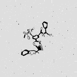 CCN(c1cc(C(=O)NC(c2ccccc2)C(F)(F)F)cc(-c2nnc([C@](C)(N)Cc3ccccc3)o2)c1)S(C)(=O)=O